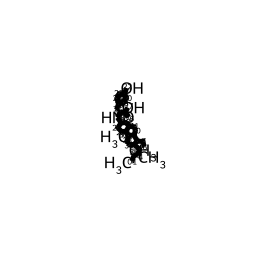 CCC[C@@H](C)[C@H]1CCC2C3CCC4CC(N[C@@H](Cc5ccc(O)cc5)C(=O)O)CC[C@]4(C)C3CC[C@@]21C